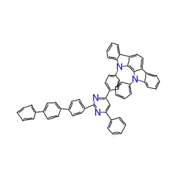 c1ccc(-c2ccc(-c3ccc(-c4nc(-c5ccccc5)cc(-c5ccc(-n6c7ccccc7c7ccc8c9ccccc9n(-c9ccccc9)c8c76)cc5)n4)cc3)cc2)cc1